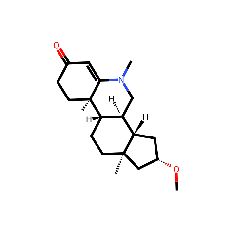 CO[C@H]1C[C@H]2[C@@H]3CN(C)C4=CC(=O)CC[C@]4(C)[C@H]3CC[C@]2(C)C1